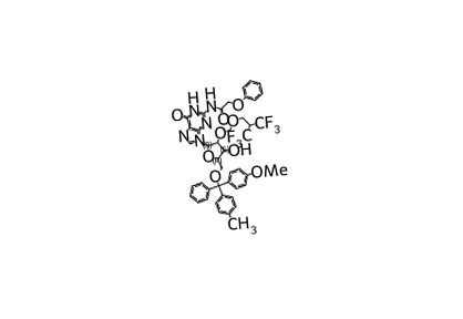 COc1ccc(C(OC[C@H]2O[C@@H](n3cnc4c(=O)[nH]c(NC(=O)COc5ccccc5)nc43)C(OCOCC(C(F)(F)F)C(F)(F)F)[C@H]2O)(c2ccccc2)c2ccc(C)cc2)cc1